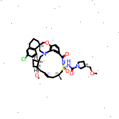 COC[C@@H]1CCN(C(=O)N[S@@]2(=O)=NC(=O)c3ccc4c(c3)N(C[C@@H]3CC[C@H]3[C@@H](OC)/C=C/C[C@H](C)C2)C[C@@]2(CCCc3cc(Cl)ccc32)CO4)C1